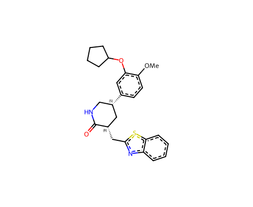 COc1ccc([C@H]2CNC(=O)[C@@H](Cc3nc4ccccc4s3)C2)cc1OC1CCCC1